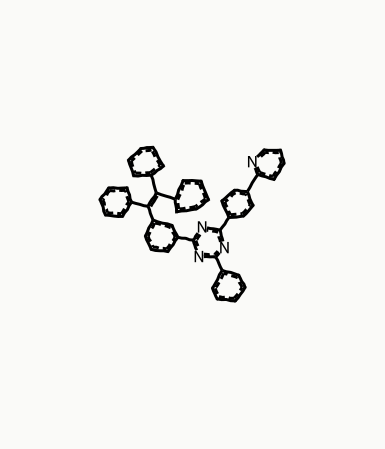 c1ccc(C(=C(c2ccccc2)c2cccc(-c3nc(-c4ccccc4)nc(-c4ccc(-c5ccccn5)cc4)n3)c2)c2ccccc2)cc1